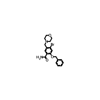 NC(=O)c1cc(CN2CCOCC2)c(Br)cc1OCc1ccccc1